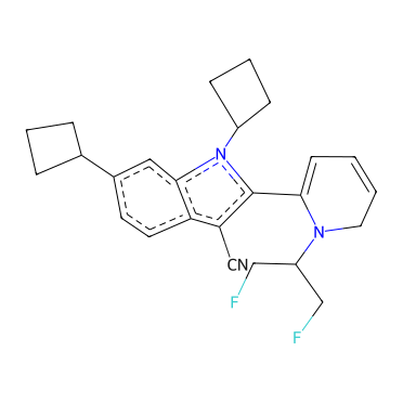 N#Cc1c(C2=CC=CCN2C(CF)CF)n(C2CCC2)c2cc(C3CCC3)ccc12